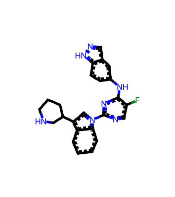 Fc1cnc(-n2cc(C3CCCNC3)c3ccccc32)nc1Nc1ccc2[nH]ncc2c1